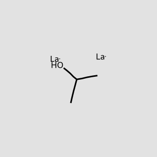 CC(C)O.[La].[La]